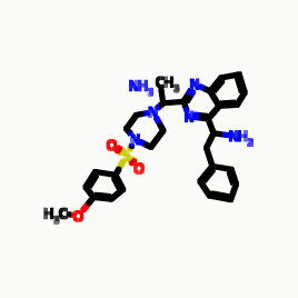 COc1ccc(S(=O)(=O)N2CCN(C(C)c3nc(C(N)Cc4ccccc4)c4ccccc4n3)CC2)cc1.N